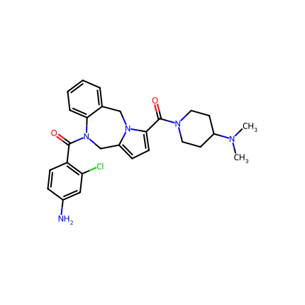 CN(C)C1CCN(C(=O)c2ccc3n2Cc2ccccc2N(C(=O)c2ccc(N)cc2Cl)C3)CC1